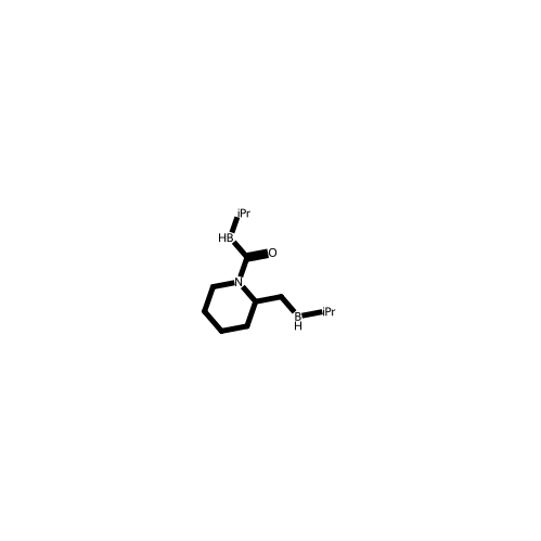 CC(C)BCC1CCCCN1C(=O)BC(C)C